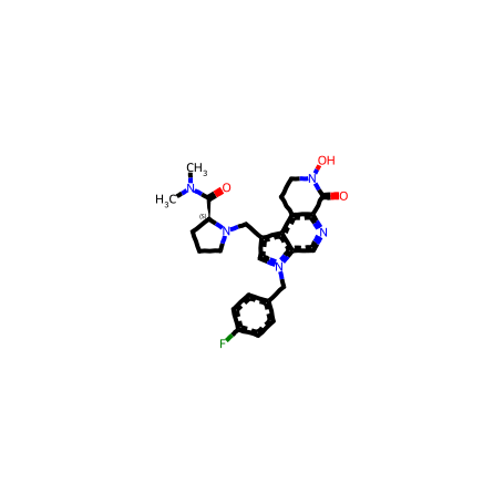 CN(C)C(=O)[C@@H]1CCCN1Cc1cn(Cc2ccc(F)cc2)c2cnc3c(c12)CCN(O)C3=O